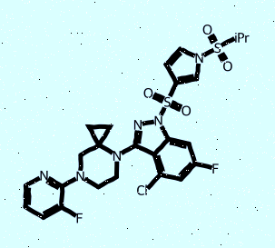 CC(C)S(=O)(=O)n1ccc(S(=O)(=O)n2nc(N3CCN(c4ncccc4F)CC34CC4)c3c(Cl)cc(F)cc32)c1